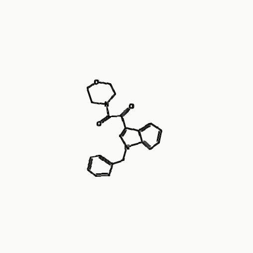 O=C(C(=O)N1CCOCC1)c1cn(Cc2ccccc2)c2ccccc12